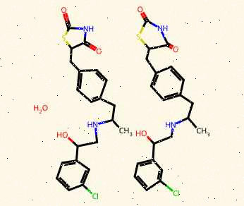 CC(Cc1ccc(CC2SC(=O)NC2=O)cc1)NCC(O)c1cccc(Cl)c1.CC(Cc1ccc(CC2SC(=O)NC2=O)cc1)NCC(O)c1cccc(Cl)c1.O